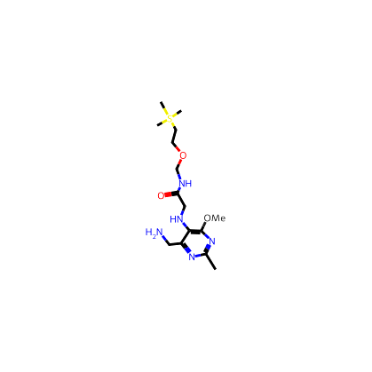 COc1nc(C)nc(CN)c1NCC(=O)NCOCCS(C)(C)C